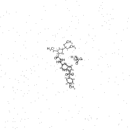 CCC(CC)C1CC(CC)C(C(=O)NNc2cnc3c(ccn3S(=O)(=O)c3ccc(C)cc3)n2)C1.N[SH](=O)=O